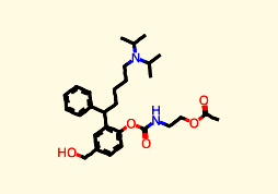 CC(=O)OCCNC(=O)Oc1ccc(CO)cc1C(CCCCN(C(C)C)C(C)C)c1ccccc1